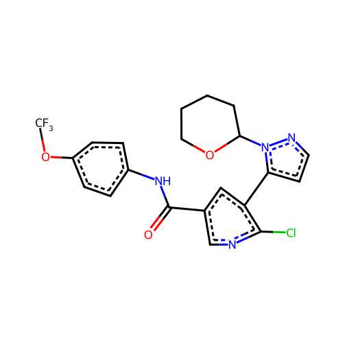 O=C(Nc1ccc(OC(F)(F)F)cc1)c1cnc(Cl)c(-c2ccnn2C2CCCCO2)c1